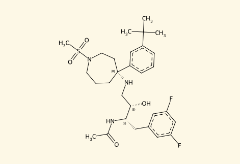 CC(=O)N[C@@H](Cc1cc(F)cc(F)c1)[C@@H](O)CN[C@]1(c2cccc(C(C)(C)C)c2)CCCN(S(C)(=O)=O)CC1